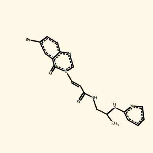 CC(CNC(=O)/C=C/n1cnc2ccc(C(C)C)cc2c1=O)Nc1ccccn1